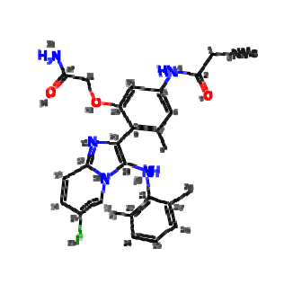 CNCC(=O)Nc1cc(C)c(-c2nc3ccc(F)cn3c2Nc2c(C)cccc2C)c(OCC(N)=O)c1